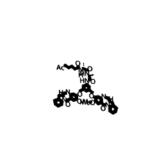 COc1cc2c(cc1OCc1cc(COc3cc4c(cc3OC)C(=O)N3c5ccccc5C[C@H]3C=N4)cc(NC(=O)[C@H](C)NC(=O)[C@@H](C)NC(=O)CCCCC(C)=O)c1)N=C[C@@H]1Cc3ccccc3N1C2=O